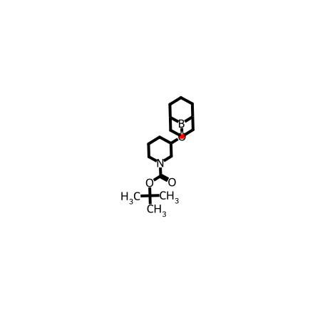 CC(C)(C)OC(=O)N1CCCC(OB2C3CCCC2CCC3)C1